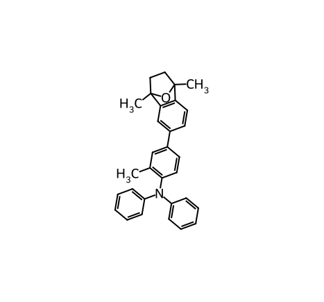 Cc1cc(-c2ccc3c(c2)C2(C)CCC3(C)O2)ccc1N(c1ccccc1)c1ccccc1